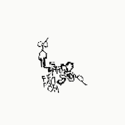 CCOCCN(c1cccc2cc(-c3ncc(CN4CCC(C(=O)OCC)CC4)s3)[nH]c12)S(=O)(=O)c1cccs1.O=C(O)C(F)(F)F